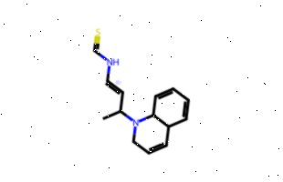 CC(/C=C/NC=S)N1CC=CC2C=CC=CC21